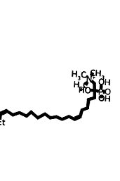 CC/C=C\CCCCCCCCCC/C=C\CCCCC(O)(C[N+](C)(C)C)P(=O)(O)O